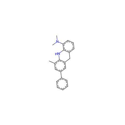 Cc1cc(-c2ccccc2)cc2c1Nc1c(cccc1N(C)C)C2